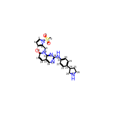 CS(=O)(=O)n1cccc1Cn1c(=O)ccc2cnc(Nc3ccc(C4CCNC4)cc3)nc21